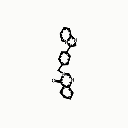 O=c1c2ccccc2ncn1Cc1ccc(-c2cnc3ccccn23)cc1